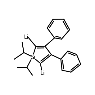 [Li][C]1=C(c2ccccc2)C(c2ccccc2)=[C]([Li])[Si]1(C(C)C)C(C)C